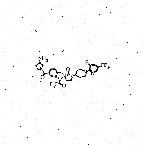 NC1CCN(C(=O)c2ccc(C[N@+]3(OC(=O)C(F)(F)F)CCN(C4CCN(c5ncc(C(F)(F)F)cc5F)CC4)C3=O)cc2)C1